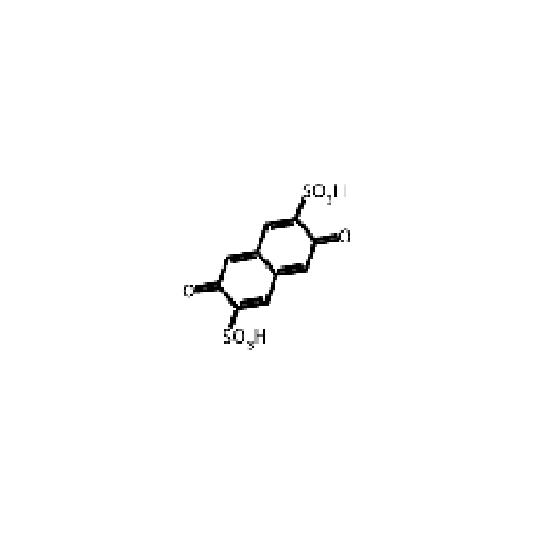 O=C1C=C2C=C(S(=O)(=O)O)C(=O)C=C2C=C1S(=O)(=O)O